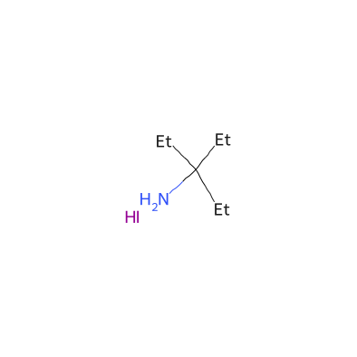 CCC(N)(CC)CC.I